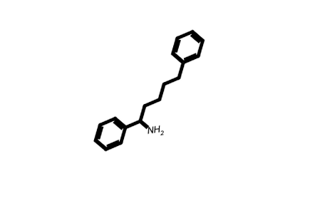 NC(CCCCc1ccccc1)c1ccccc1